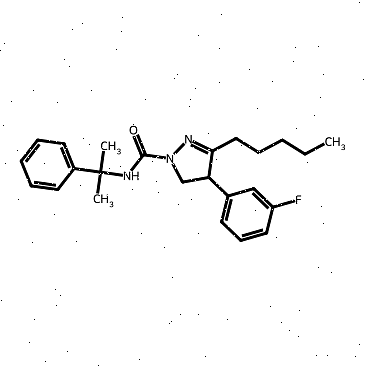 CCCCCC1=NN(C(=O)NC(C)(C)c2ccccc2)CC1c1cccc(F)c1